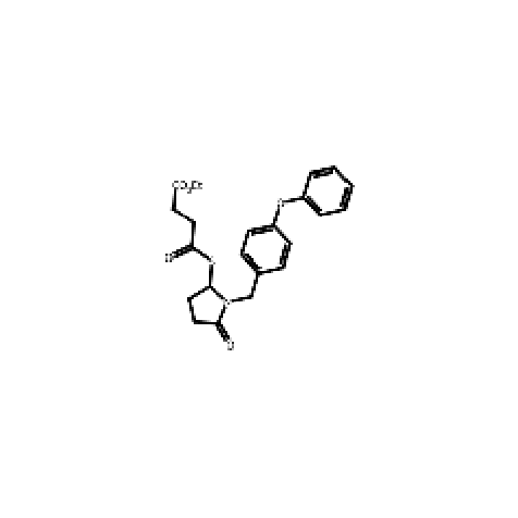 CCOC(=O)CCC(=O)SC1CCC(=O)N1Cc1ccc(Oc2ccccc2)cc1